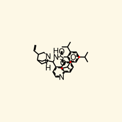 C=CC1C[N@@]2CCC1C[C@H]2C(NS(=O)(=O)c1c(C(C)C)cc(C(C)C)cc1C(C)C)c1ccnc2ccc(OC)cc12